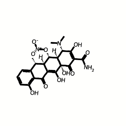 C[C@H]1c2cccc(O)c2C(=O)C2=C(O)[C@]3(O)C(=O)C(C(N)=O)=C(O)[C@@H](N(C)C)[C@@H]3[C@@H](O[N+](=O)[O-])[C@@H]21